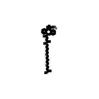 CC(C)C(=O)CCOCCOCCOCCOCCNC(=O)CCC(=O)N1Cc2ccccc2C2C(N=NN2C)c2ccccc21